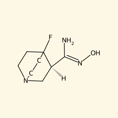 N/C(=N\O)[C@H]1CN2CCC1(F)CC2